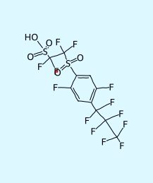 O=S(=O)(O)C(F)(F)C(F)(F)S(=O)(=O)c1cc(F)c(C(F)(F)C(F)(F)C(F)(F)F)cc1F